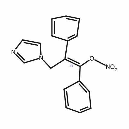 O=[N+]([O-])O/C(=C(/Cn1ccnc1)c1ccccc1)c1ccccc1